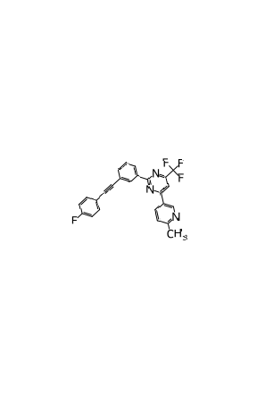 Cc1ccc(-c2cc(C(F)(F)F)nc(-c3cccc(C#Cc4ccc(F)cc4)c3)n2)cn1